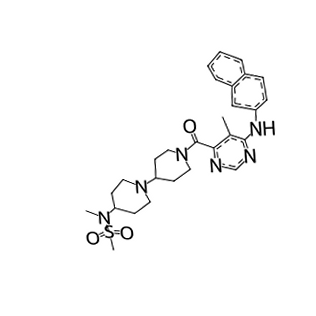 Cc1c(Nc2ccc3ccccc3c2)ncnc1C(=O)N1CCC(N2CCC(N(C)S(C)(=O)=O)CC2)CC1